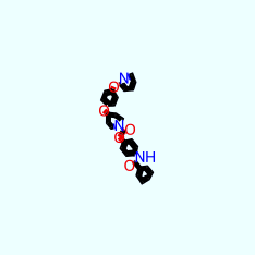 O=C(Nc1ccc(OC(=O)N2CCC(Oc3ccc(Oc4ccccn4)cc3)CC2)cc1)c1ccccc1